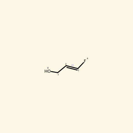 OC/C=C/F